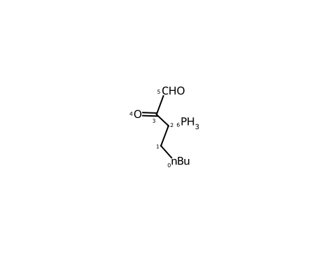 CCCCCCC(=O)C=O.P